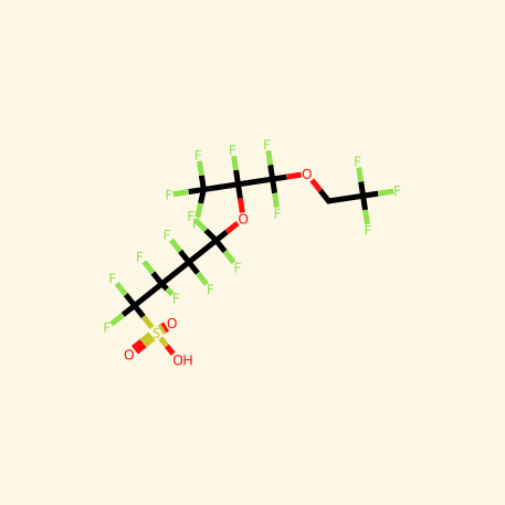 O=S(=O)(O)C(F)(F)C(F)(F)C(F)(F)C(F)(F)OC(F)(C(F)(F)F)C(F)(F)OCC(F)(F)F